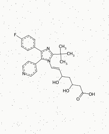 CC(C)(C)c1nc(-c2ccc(F)cc2)c(-c2ccncc2)n1/C=C/C(O)CC(O)CC(=O)O